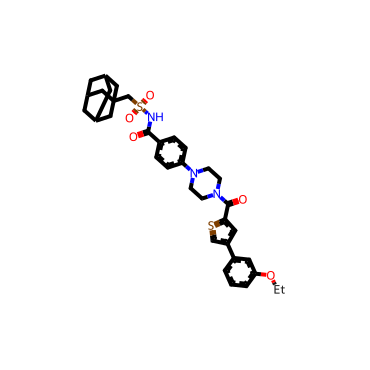 CCOc1cccc(-c2csc(C(=O)N3CCN(c4ccc(C(=O)NS(=O)(=O)CC56CC7CC(CC(C7)C5)C6)cc4)CC3)c2)c1